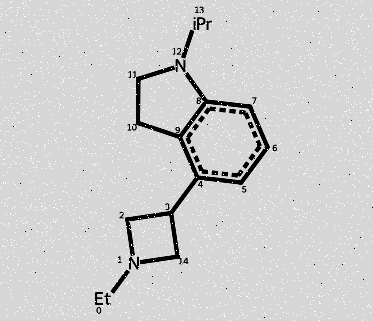 CCN1CC(c2cccc3c2CCN3C(C)C)C1